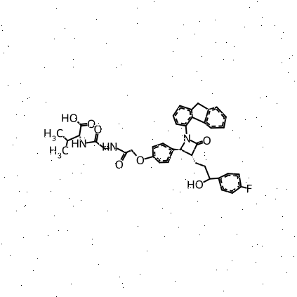 CC(C)[C@@H](NC(=O)CNC(=O)COc1ccc([C@@H]2[C@@H](CCC(O)c3ccc(F)cc3)C(=O)N2c2cccc3c2-c2ccccc2C3)cc1)C(=O)O